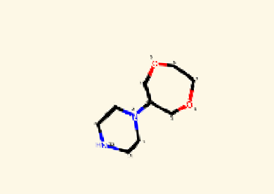 C1CN(C2COCCOC2)CCN1